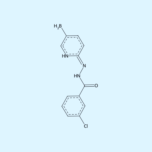 Bc1cc/c(=N/NC(=O)c2cccc(Cl)c2)[nH]c1